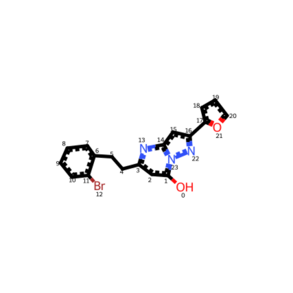 Oc1cc(CCc2ccccc2Br)nc2cc(-c3ccco3)nn12